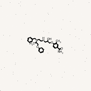 Cc1cc(C(N)=O)ccc1OCC(O)CNCCN(Cc1ccccc1)C(C)COc1ccccc1